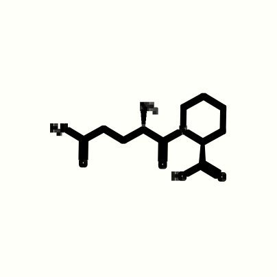 NC(=O)CC[C@H](N)C(=O)N1CCCC[C@H]1C(=O)O